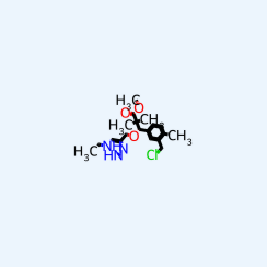 CCN/C=C(/COC(c1ccc(C)c(CCl)c1)C(C)(C)C(=O)OC)N=N